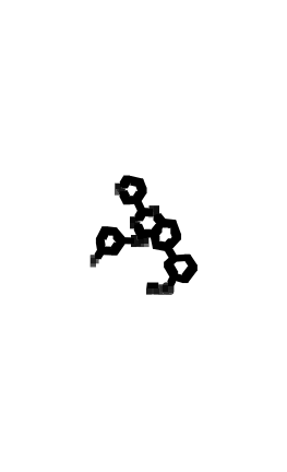 COC1=CC(c2ccc3nc(-c4cccnc4)nc(Nc4cccc(F)c4)c3c2)CC=C1